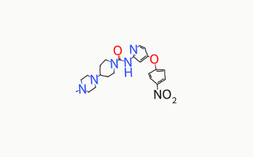 CN1CCN(C2CCN(C(=O)Nc3cc(Oc4ccc([N+](=O)[O-])cc4)ccn3)CC2)CC1